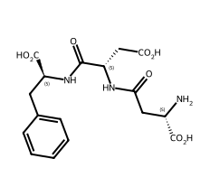 N[C@@H](CC(=O)N[C@@H](CC(=O)O)C(=O)N[C@@H](Cc1ccccc1)C(=O)O)C(=O)O